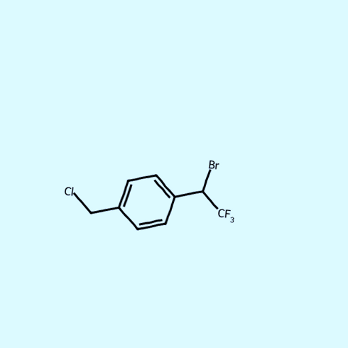 FC(F)(F)C(Br)c1ccc(CCl)cc1